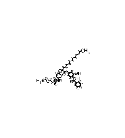 CCCCCCCCCCCCC(Oc1ccc(NS(=O)(=O)CCOCC)cc1)C(=O)Nc1ccc(NC(=O)c2ccccc2)c(O)c1